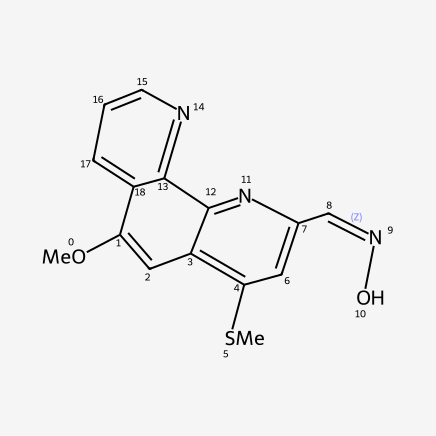 COc1cc2c(SC)cc(/C=N\O)nc2c2ncccc12